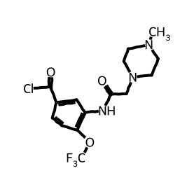 CN1CCN(CC(=O)Nc2cc(C(=O)Cl)ccc2OC(F)(F)F)CC1